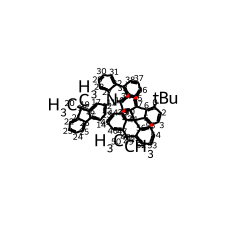 CC(C)(C)c1cccc2c1-c1ccc(N(c3ccc4c(c3)C(C)(C)c3ccccc3-4)c3ccccc3-c3ccccc3)cc1C21c2ccccc2C(C)(C)c2ccccc21